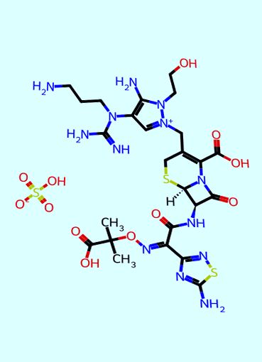 CC(C)(O/N=C(\C(=O)N[C@@H]1C(=O)N2C(C(=O)O)=C(C[n+]3cc(N(CCCN)C(=N)N)c(N)n3CCO)CS[C@H]12)c1nsc(N)n1)C(=O)O.O=S(=O)([O-])O